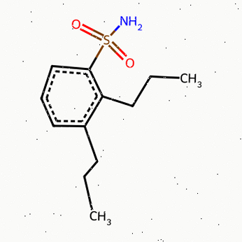 CCCc1cccc(S(N)(=O)=O)c1CCC